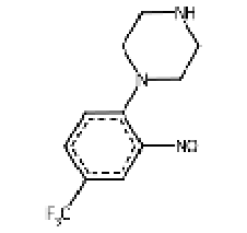 O=Nc1cc(C(F)(F)F)ccc1N1CCNCC1